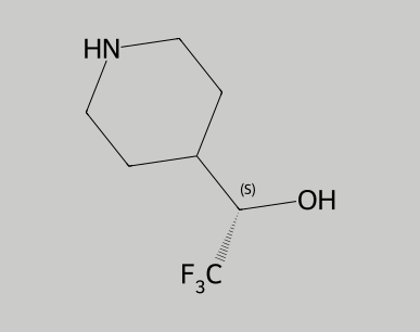 O[C@@H](C1CCNCC1)C(F)(F)F